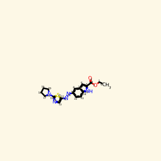 CCOC(=O)c1cc2cc(/N=N/c3cnc(N4CCCC4)s3)ccc2[nH]1